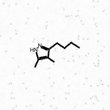 CCCCc1n[nH]c(C)c1C